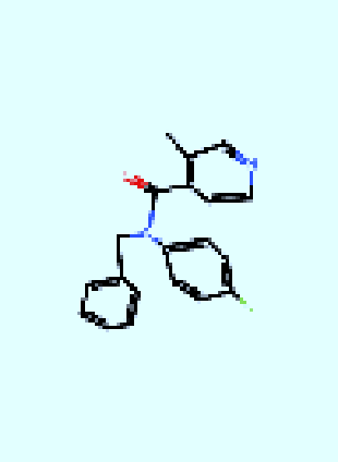 Cc1cnccc1C(=O)N(Cc1ccccc1)c1ccc(F)cc1